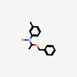 CCN(c1cc[c]c(C)c1)C(C)OCc1ccccc1